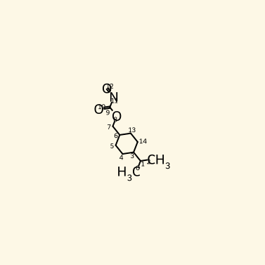 CC(C)C1CCC(COC(=O)N=O)CC1